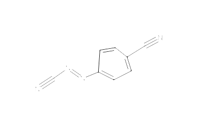 N#CN=Nc1ccc(C#N)cc1